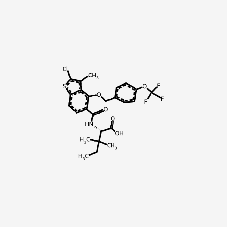 CCC(C)(C)[C@H](NC(=O)c1ccc2sc(Cl)c(C)c2c1OCc1ccc(OC(F)(F)F)cc1)C(=O)O